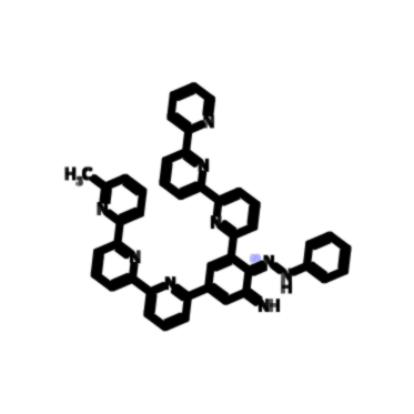 Cc1cccc(-c2cccc(-c3cccc(C4=CC(=N)/C(=N\Nc5ccccc5)C(c5cccc(-c6cccc(-c7ccccn7)n6)n5)=C4)n3)n2)n1